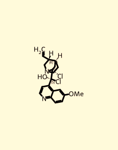 C=C[C@H]1CN2CC[C@H]1C[C@@]2(Cl)[C@@](O)(Cl)c1ccnc2ccc(OC)cc12